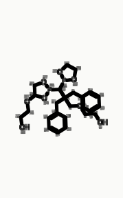 OCCOCC(Cc1ccccc1)(Cc1ccccc1)C(P1OCCO1)P1OCC(OCCO)O1